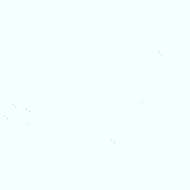 CC(=O)N1CCC(C(=O)N(CCCN2CCC(Cc3ccc(-n4cnnn4)cc3)CC2)c2ccc(Cl)c(Cl)c2)CC1